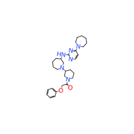 O=C(COc1ccccc1)N1CCCC(N2CCCCC(Nc3nccc(N4CCCCCC4)n3)C2)C1